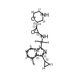 Cc1cccn2c(C(C)(C)NC3OC3[C@@H]3CNCCO3)nc(C3CC3)c12